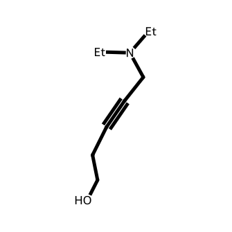 CCN(CC)CC#CCCO